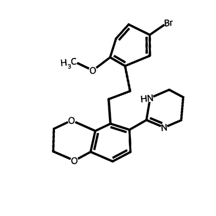 COc1ccc(Br)cc1CCc1c(C2=NCCCN2)ccc2c1OCCO2